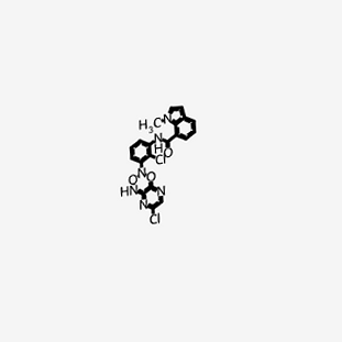 Cn1ccc2cccc(C(=O)Nc3cccc(-n4o[nH]c5nc(Cl)cnc5o4)c3Cl)c21